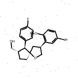 COc1ccc(C(C)C)cc1[C@H]1CO[C@]2(CC[C@H](CO)[C@H]2c2ccc(F)cc2)C1